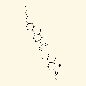 CCCCCc1ccc(-c2ccc(C(=O)OC3CCC(c4ccc(OCC)c(F)c4F)CC3)c(F)c2F)cc1